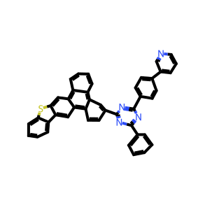 c1ccc(-c2nc(-c3ccc(-c4cccnc4)cc3)nc(-c3ccc4c(c3)c3ccccc3c3cc5sc6ccccc6c5cc43)n2)cc1